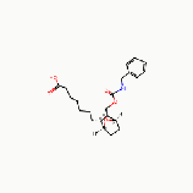 O=C(O)CCCCCC[C@@H]1[C@@H](COC(=O)NCc2ccccc2)[C@H]2CC[C@@H]1O2